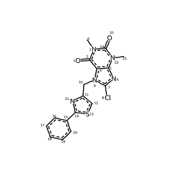 Cn1c(=O)c2c(nc(Cl)n2Cc2csc(-c3ccccc3)n2)n(C)c1=O